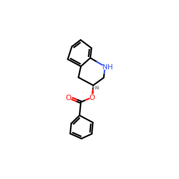 O=C(O[C@@H]1CNc2ccccc2C1)c1ccccc1